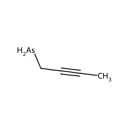 CC#CC[AsH2]